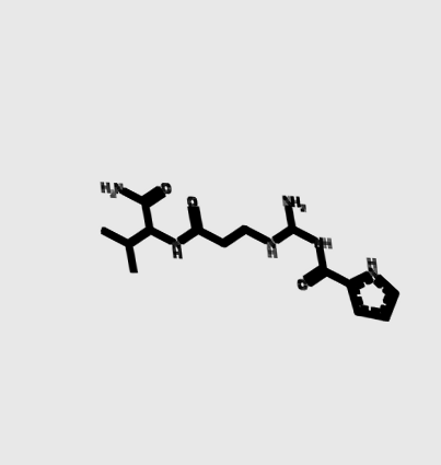 CC(C)C(NC(=O)CCNC(N)NC(=O)c1ccc[nH]1)C(N)=O